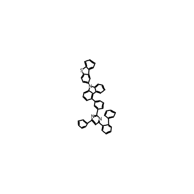 c1ccc(-c2cc(-c3ccccc3-c3ccccc3)nc(-c3cccc(-c4cccc5c4c4ccccc4n5-c4ccc5sc6ccccc6c5c4)c3)n2)cc1